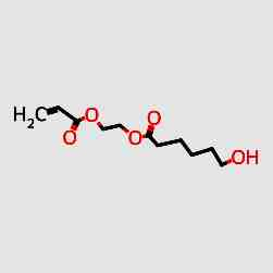 C=CC(=O)OCCOC(=O)CCCCCO